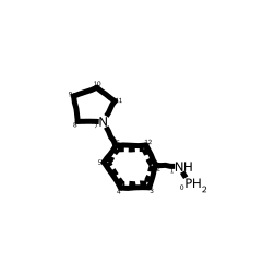 PNc1cccc(N2CCCC2)c1